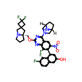 O=[N+]([O-])c1cc2c(N3C[C@H]4CC[C@@H](C3)N4)nc(OC[C@]34CCCN3CC3(CC(F)(F)C3)C4)nc2c(F)c1-c1cc(O)cc2ccc(F)c(F)c12